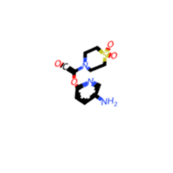 Nc1ccc(OC(=C=O)N2CCS(=O)(=O)CC2)nc1